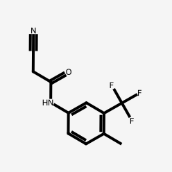 Cc1ccc(NC(=O)CC#N)cc1C(F)(F)F